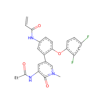 C=CC(=O)Nc1ccc(Oc2ccc(F)cc2F)c(-c2cc(NC(=O)CC)c(=O)n(C)c2)c1